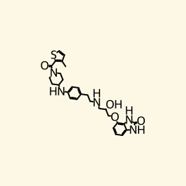 Cc1ccsc1C(=O)N1CCC(Nc2ccc(CCNCC(O)COc3cccc4[nH]c(=O)[nH]c34)cc2)CC1